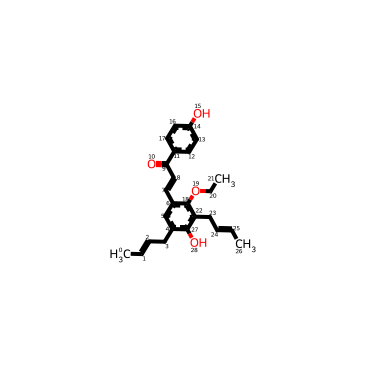 CC=CCc1cc(C=CC(=O)c2ccc(O)cc2)c(OCC)c(CC=CC)c1O